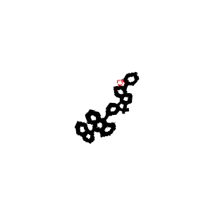 CC1(C)c2cc(-c3c4ccccc4c(-c4cccc5ccccc45)c4ccccc34)ccc2-c2c1ccc1c2ccc2oc3c(c21)CCC=C3